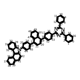 c1ccc(-c2nc(-c3ccccc3)nc(-c3ccc(-c4ccc(-c5ccc(-n6c7ccccc7c7c8ccccc8ccc76)cc5)c5ccccc45)cc3)n2)cc1